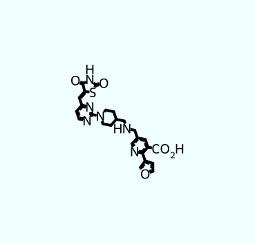 O=C1NC(=O)C(=Cc2ccnc(N3CCC(CNCc4cnc(-c5ccoc5)c(C(=O)O)c4)CC3)n2)S1